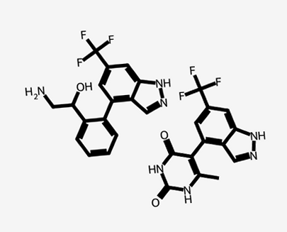 Cc1[nH]c(=O)[nH]c(=O)c1-c1cc(C(F)(F)F)cc2[nH]ncc12.NCC(O)c1ccccc1-c1cc(C(F)(F)F)cc2[nH]ncc12